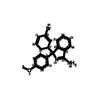 COc1ccc(C2(C3C=C(Br)C=CC3)N=C(N)c3ccccc32)cc1